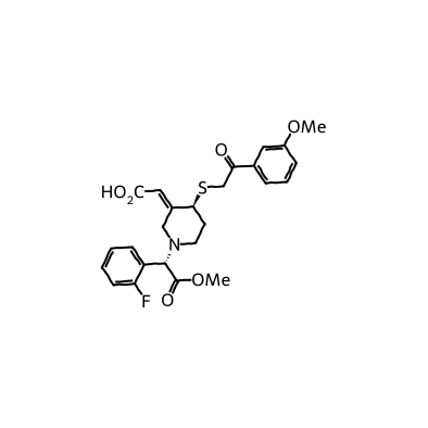 COC(=O)[C@H](c1ccccc1F)N1CC[C@H](SCC(=O)c2cccc(OC)c2)/C(=C/C(=O)O)C1